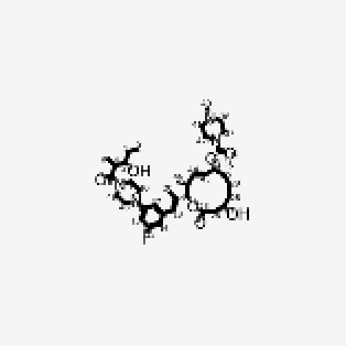 CCC(O)C(C)C(=O)N1CCN(c2cc(F)cc(/C=C(\C)[C@H]3OC(=O)C[C@@H](O)CC[C@@H](C)[C@@H](OC(=O)N4CCN(C)CC4)/C=C/[C@@H]3C)c2)CC1